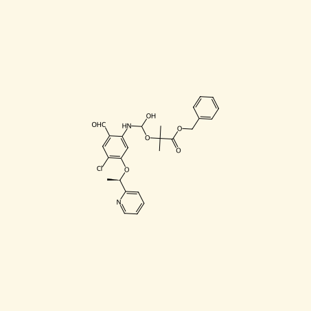 C[C@@H](Oc1cc(NC(O)OC(C)(C)C(=O)OCc2ccccc2)c(C=O)cc1Cl)c1ccccn1